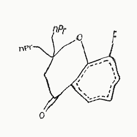 CCCC1(CCC)CC(=O)c2cccc(F)c2O1